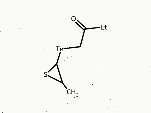 CCC(=O)C[Te]C1SC1C